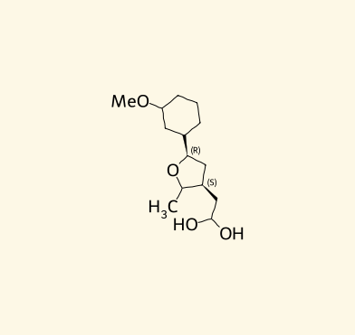 COC1CCCC([C@H]2C[C@@H](CC(O)O)C(C)O2)C1